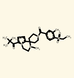 CCS(=O)(=O)c1ccc(C(=O)N2CCC3(CC2)c2ccc(C(=O)C(C)(C)C)n2CCN3C)cc1C